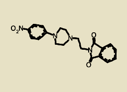 O=C1c2ccccc2C(=O)N1CCN1CCN(c2ccc([N+](=O)[O-])cc2)CC1